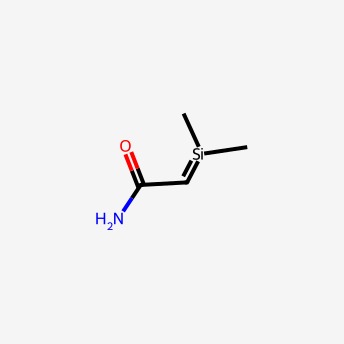 C[Si](C)=CC(N)=O